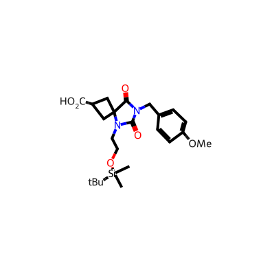 COc1ccc(CN2C(=O)N(CCO[Si](C)(C)C(C)(C)C)C3(CC(C(=O)O)C3)C2=O)cc1